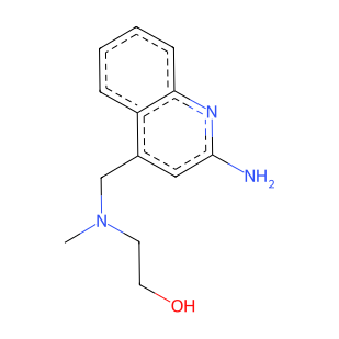 CN(CCO)Cc1cc(N)nc2ccccc12